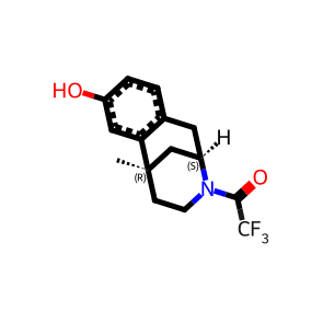 C[C@]12CCN(C(=O)C(F)(F)F)[C@H](Cc3ccc(O)cc31)C2